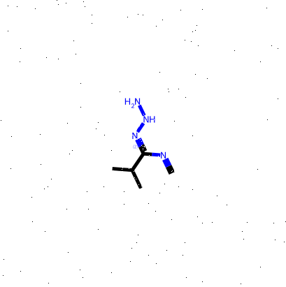 C=N/C(=N\NN)C(C)C